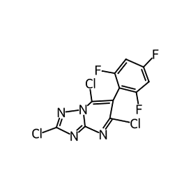 Fc1cc(F)c(-c2c(Cl)nc3nc(Cl)nn3c2Cl)c(F)c1